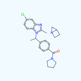 C1CN2CC12.Cc1nc2cc(Cl)ccc2n1C(C)c1ccc(C(=O)N2CCCC2)cc1